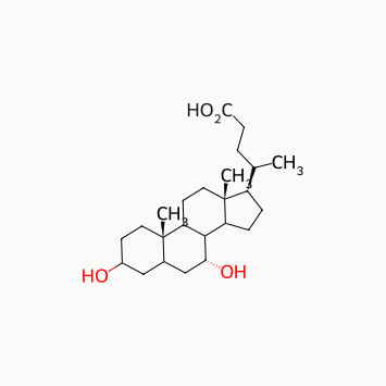 CC(CCC(=O)O)[C@H]1CCC2C3C(CC[C@@]21C)[C@@]1(C)CCC(O)CC1C[C@H]3O